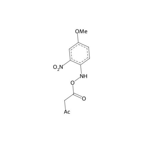 COc1ccc(NOC(=O)CC(C)=O)c([N+](=O)[O-])c1